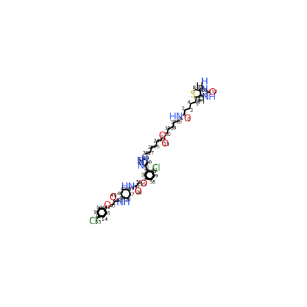 O=C(CCCC[C@H]1SC[C@@H]2NC(=O)N[C@@H]21)NCCCCCOC(=O)CCCCCn1cc(-c2cc(OCC(=O)N[C@H]3CC[C@H](NC(=O)COc4ccc(Cl)cc4)CC3)ccc2Cl)nn1